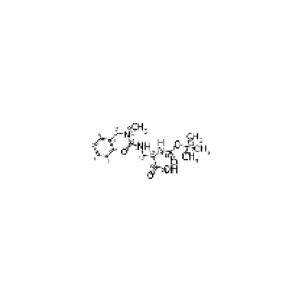 CN(Cc1ccccc1)C(=O)NCC(NC(=O)OC(C)(C)C)C(=O)O